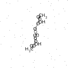 C=CC(=O)OCC(O)COCCCCOC1CCC(C(=O)Oc2ccc(OCC(O)COC(=O)C=C)cc2)CC1